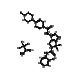 CN1CCN(c2ccc(C(=O)Nc3n[nH]c4c3CN(C(=O)Nc3cccnc3Cl)C4(C)C)cc2)CC1.O=C(O)C(F)(F)F